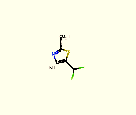 O=C(O)c1ncc(C(F)F)s1.[KH]